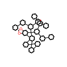 c1ccc(-c2cccc(-c3cc(-c4cccc(-c5ccccc5)c4)cc(C4(c5cc(-c6cccc(-c7ccccc7)c6)cc(-c6cccc(-c7ccccc7)c6)c5)c5cc6c(cc5-c5c4ccc4c5-c5ccccc5C45c4ccccc4-c4ccccc45)OCO6)c3)c2)cc1